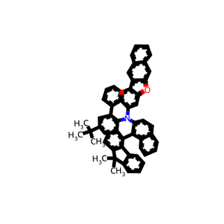 CC(C)(C)c1ccc(N(c2ccc3c(c2)oc2cc4ccccc4cc23)c2ccc3ccccc3c2-c2cccc3c2-c2ccccc2C3(C)C)c(-c2ccccc2)c1